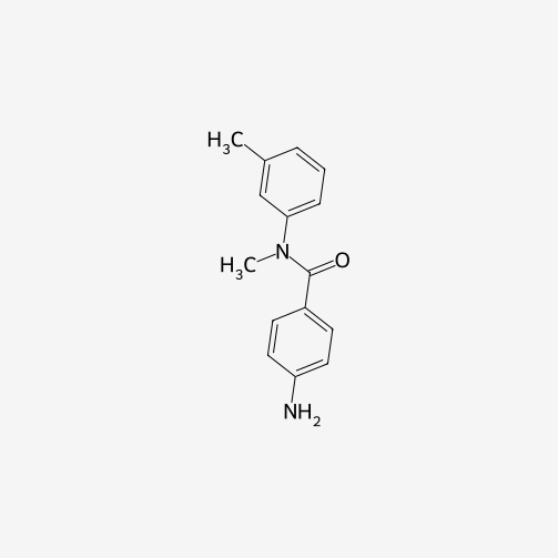 Cc1cccc(N(C)C(=O)c2ccc(N)cc2)c1